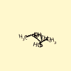 CCCCCCC(CCCC)CC(CCCCCCCCC(CC(O)=S)CC(CCCC)CCCCCC)CC(O)=S